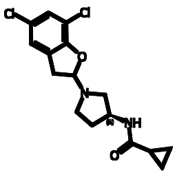 O=C(N[C@H]1CCN(C2Cc3cc(Cl)cc(Cl)c3O2)C1)C1CC1